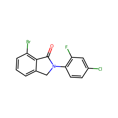 O=C1c2c(Br)cccc2CN1c1ccc(Cl)cc1F